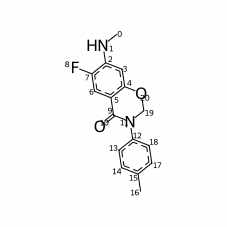 CNc1cc2c(cc1F)C(=O)N(c1ccc(C)cc1)CO2